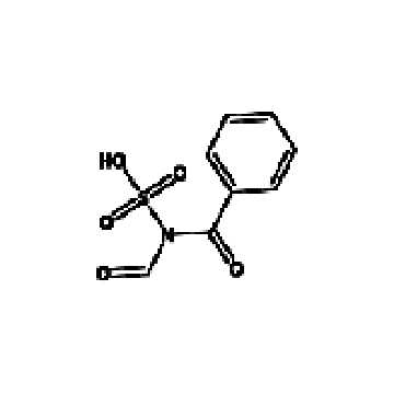 O=CN(C(=O)c1ccccc1)S(=O)(=O)O